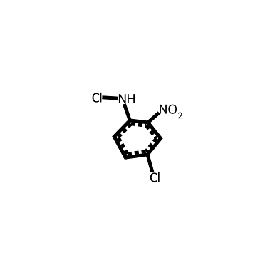 O=[N+]([O-])c1cc(Cl)ccc1NCl